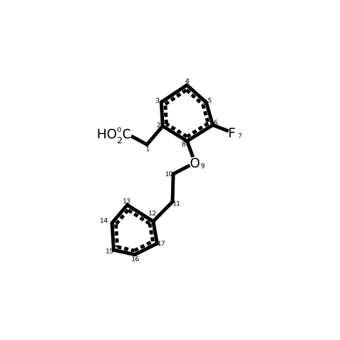 O=C(O)Cc1cccc(F)c1OCCc1ccccc1